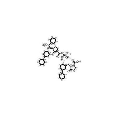 CC(NC1CCN(C(=O)OC(C)(C)C)C1Cc1cccc(-c2ccccc2)c1)c1ccccc1.O=C1CCN(C(=O)O)C1Cc1cccc(-c2ccccc2)c1